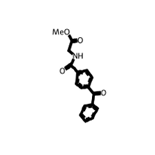 COC(=O)CNC(=O)c1ccc(C(=O)c2ccccc2)cc1